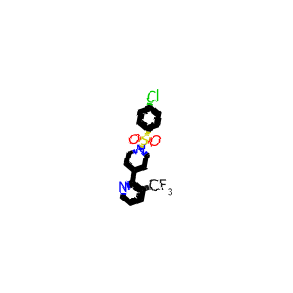 O=S(=O)(c1ccc(Cl)cc1)N1CCC(c2ncccc2C(F)(F)F)CC1